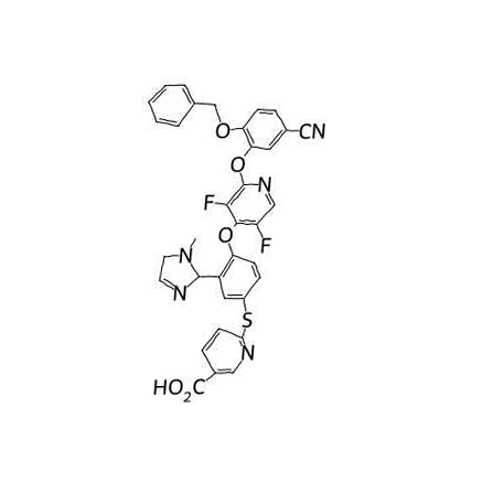 CN1CC=NC1c1cc(Sc2ccc(C(=O)O)cn2)ccc1Oc1c(F)cnc(Oc2cc(C#N)ccc2OCc2ccccc2)c1F